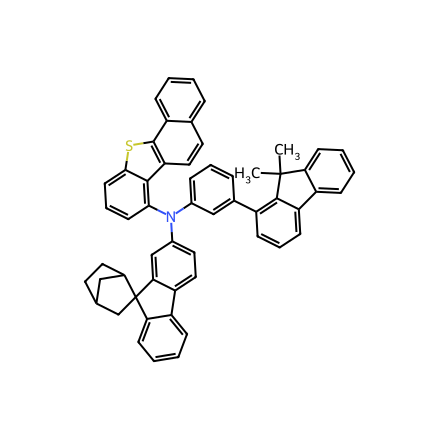 CC1(C)c2ccccc2-c2cccc(-c3cccc(N(c4ccc5c(c4)C4(CC6CCC4C6)c4ccccc4-5)c4cccc5sc6c7ccccc7ccc6c45)c3)c21